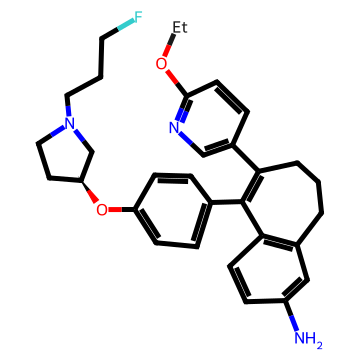 CCOc1ccc(C2=C(c3ccc(O[C@H]4CCN(CCCF)C4)cc3)c3ccc(N)cc3CCC2)cn1